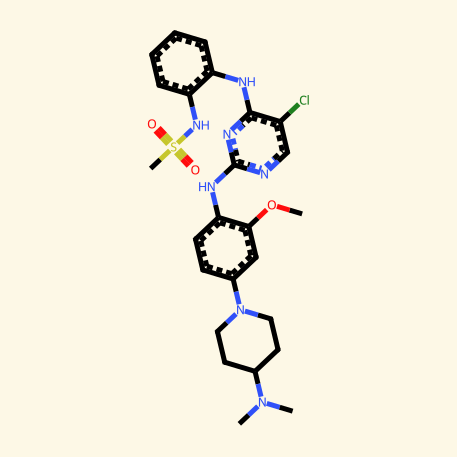 COc1cc(N2CCC(N(C)C)CC2)ccc1Nc1ncc(Cl)c(Nc2ccccc2NS(C)(=O)=O)n1